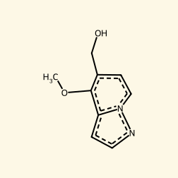 COc1c(CO)ccn2nccc12